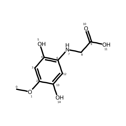 COc1cc(O)c(NCC(=O)O)cc1O